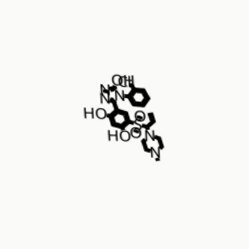 C=CC(N1CCN(C)CC1)S(=O)(=O)c1cc(-c2nnc(O)n2-c2ccccc2Cl)c(O)cc1O